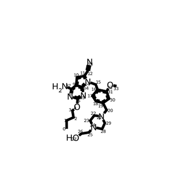 CCCCOc1nc(N)c2cc(C#N)n(Cc3ccc(CN4CCN(CCO)CC4)cc3OC)c2n1